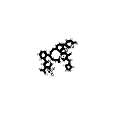 C=C1CC2C(CCc3ccc4c(oc5nc(C)ccc54)c3-c3cc(C)c(CC4CCCC4)c[n+]31)c1ccccc1-c1cc(C(C)C)c([Si](C)(C)C)c[n+]12